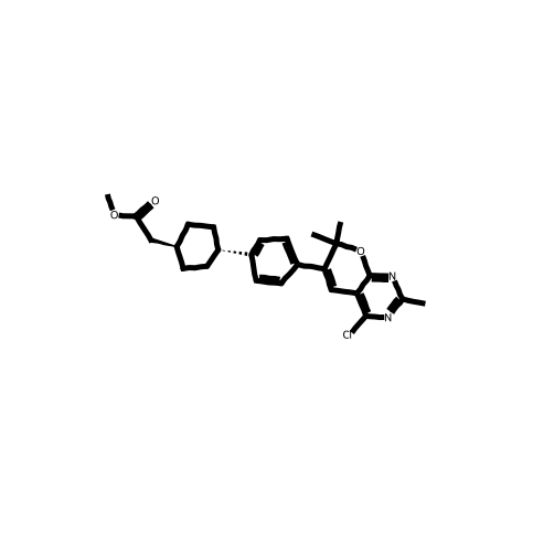 COC(=O)C[C@H]1CC[C@H](c2ccc(C3=Cc4c(Cl)nc(C)nc4OC3(C)C)cc2)CC1